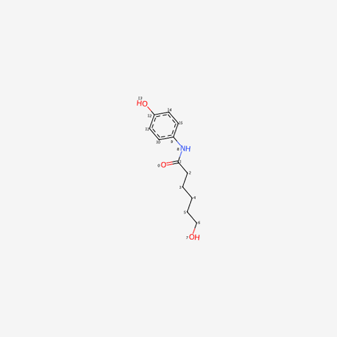 O=C(CCCCCO)Nc1ccc(O)cc1